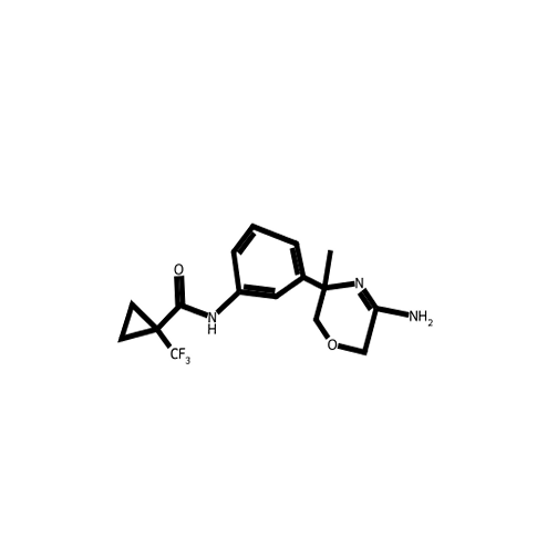 CC1(c2cccc(NC(=O)C3(C(F)(F)F)CC3)c2)COCC(N)=N1